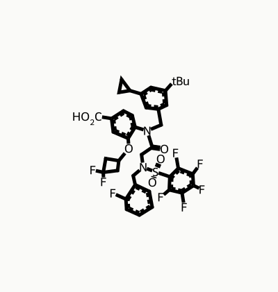 CC(C)(C)c1cc(CN(C(=O)CN(Cc2ccccc2F)S(=O)(=O)c2c(F)c(F)c(F)c(F)c2F)c2ccc(C(=O)O)cc2OC2CC(F)(F)C2)cc(C2CC2)c1